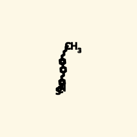 CCCCCCc1ccc(C2CCC(CCc3ccc(N=C=S)cc3)CC2)cc1